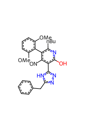 CCCCc1nc(O)c(-c2nnc(Cc3ccccc3)[nH]2)c(N=O)c1-c1c(OC)cccc1OC